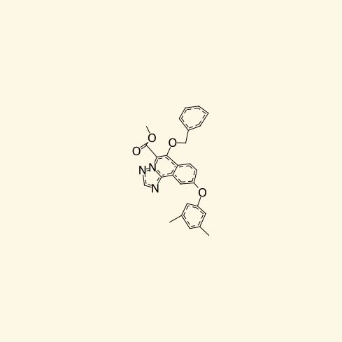 COC(=O)c1c(OCc2ccccc2)c2ccc(Oc3cc(C)cc(C)c3)cc2c2ncnn12